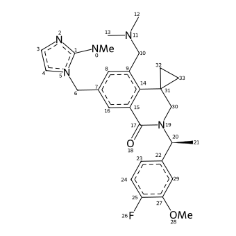 CNc1nccn1Cc1cc(CN(C)C)c2c(c1)C(=O)N([C@@H](C)c1ccc(F)c(OC)c1)CC21CC1